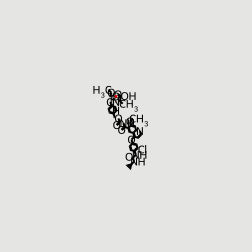 COCP(=O)(NC(C)C(=O)O)Oc1ccc(COC(=O)NC(=O)c2cc3c(Oc4ccc(NC(=O)NC5CC5)c(Cl)c4)ccnc3cc2OC)cc1